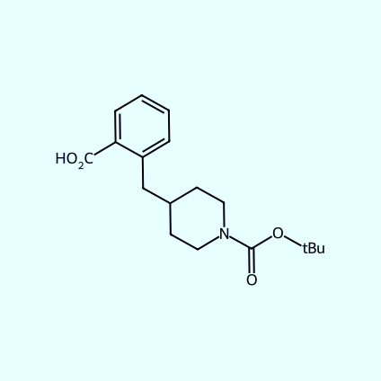 CC(C)(C)OC(=O)N1CCC(Cc2ccccc2C(=O)O)CC1